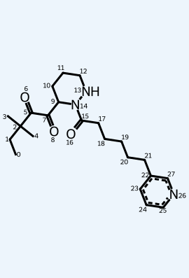 CCC(C)(C)C(=O)C(=O)C1CCCNN1C(=O)CCCCCc1cccnc1